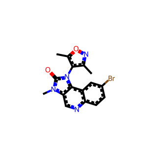 Cc1noc(C)c1-n1c(=O)n(C)c2cnc3ccc(Br)cc3c21